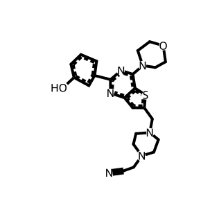 N#CCN1CCN(Cc2cc3nc(-c4cccc(O)c4)nc(N4CCOCC4)c3s2)CC1